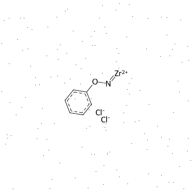 [Cl-].[Cl-].[Zr+2]=[N]Oc1ccccc1